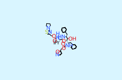 CC(C)[C@H](NC(=O)OCc1csc(N2CCCC2)n1)C(=O)N[C@@H](Cc1ccccc1)[C@@H](O)C[C@H](Cc1ccccc1)NC(=O)OCc1ccno1